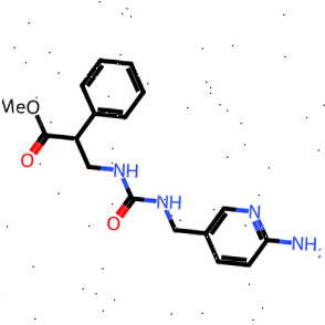 COC(=O)C(CNC(=O)NCc1ccc(N)nc1)c1ccccc1